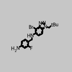 CC(C)(C)Cn1nnc2c(Br)c(NCc3ccc(N)cc3F)ccc21